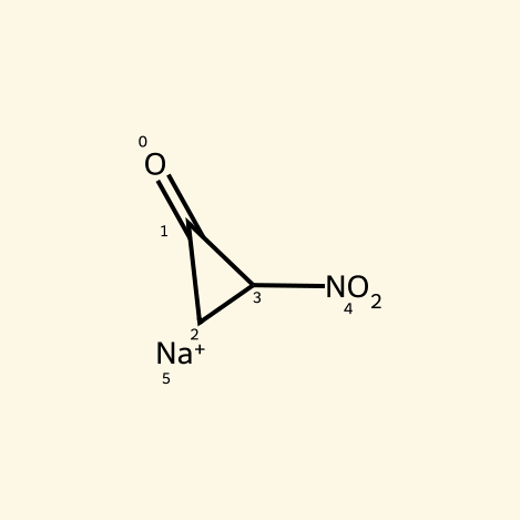 O=C1CC1[N+](=O)[O-].[Na+]